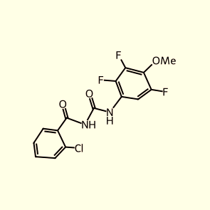 COc1c(F)cc(NC(=O)NC(=O)c2ccccc2Cl)c(F)c1F